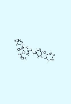 CCOP(=O)(CC(=O)CCc1ccc(OC2CCCCO2)cc1)OCC